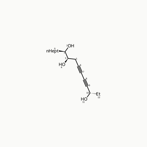 CCCCCCC[C@@H](O)[C@H](O)CC#CC#C[C@@H](O)CC